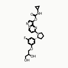 O=C(NC1CC1)Oc1cnn2ccc(N3CCC[C@@H]3c3cc(F)cc(OCC(O)CO)c3)nc12